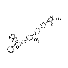 CCC(C)n1ncn(-c2ccc(N3CCN(c4ccc(OC[C@@H]5CO[C@@](Cn6nccn6)(c6ccccc6)O5)cc4C(F)(F)F)CC3)cc2)c1=O